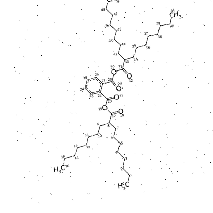 CCCCCCCCC(CCCCCCCC)C(=O)OC(=O)c1ccccc1C(=O)OC(=O)C(CCCCCCCC)CCCCCCCC